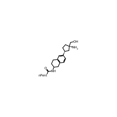 CCCCCC(=O)NC1CCc2cc([C@H]3CC[C@](N)(CO)C3)ccc2C1